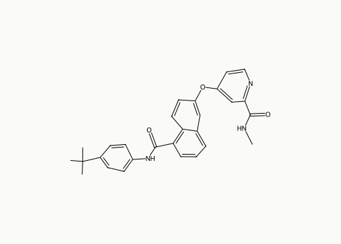 CNC(=O)c1cc(Oc2ccc3c(C(=O)Nc4ccc(C(C)(C)C)cc4)cccc3c2)ccn1